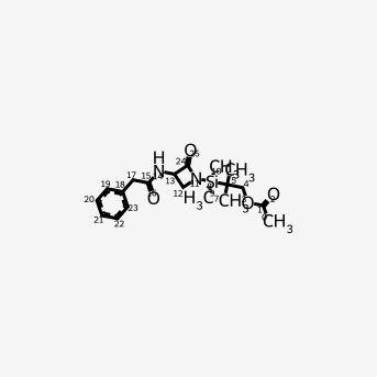 CC(=O)OCC(C)(C)[Si](C)(C)N1CC(NC(=O)Cc2ccccc2)C1=O